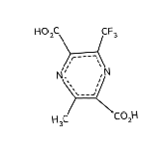 Cc1nc(C(=O)O)c(C(F)(F)F)nc1C(=O)O